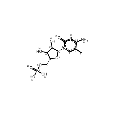 Cc1cn([C@@H]2O[C@H](COP(=O)(O)O)C(O)C2O)c(=O)nc1N